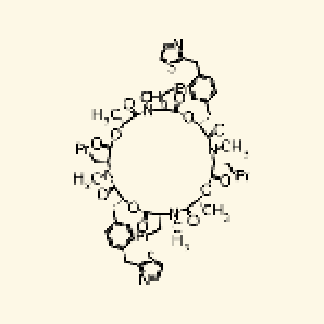 CC(C)C[C@H]1C(=O)O[C@H](Cc2ccc(Cc3nccs3)cc2)C(=O)N(C)[C@@H](CC(C)C)C(=O)O[C@H](C)C(=O)N(C)[C@@H](CC(C)C)C(=O)O[C@H](Cc2ccc(Cc3nccs3)cc2)C(=O)N(C)[C@@H](CC(C)C)C(=O)O[C@H](C)C(=O)N1C